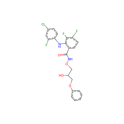 O=C(NOCC(O)COc1ccccc1)c1ccc(F)c(F)c1Nc1ccc(Cl)cc1F